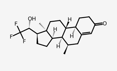 C[C@@H]1CC2=CC(=O)CC[C@@H]2[C@H]2CC[C@@]3(C)[C@H](CC[C@H]3[C@@H](O)C(F)(F)F)[C@@H]21